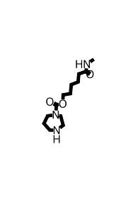 CNC(=O)CCCCCOC(=O)N1CCCNCC1